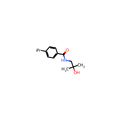 CC(C)c1ccc(C(=O)NCC(C)(C)O)cc1